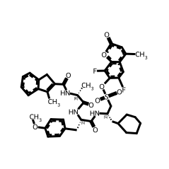 COc1ccc(C[C@H](NC(=O)[C@@H](C)NC(=O)C2=C(C)c3ccccc3C2)C(=O)N[C@@H](CC2CCCCC2)CS(=O)(=O)Oc2c(F)cc3c(C)cc(=O)oc3c2F)cc1